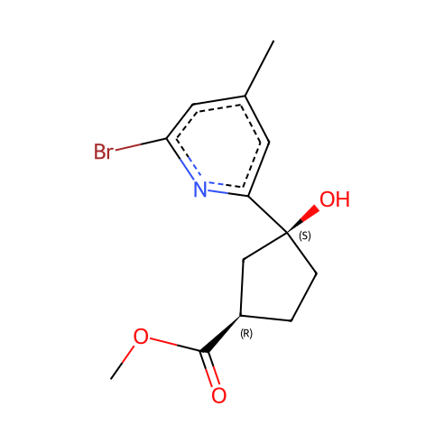 COC(=O)[C@@H]1CC[C@@](O)(c2cc(C)cc(Br)n2)C1